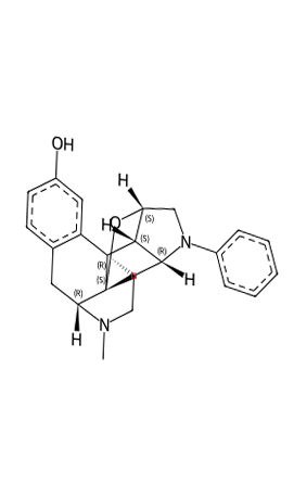 CN1CC[C@@]23c4cc(O)ccc4C[C@@H]1[C@]21CC[C@@H]2[C@H]3[C@@H](CN2c2ccccc2)O1